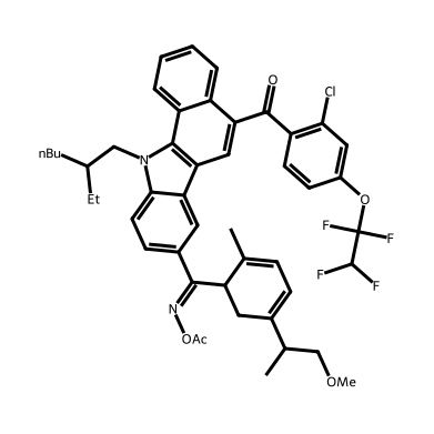 CCCCC(CC)Cn1c2ccc(/C(=N/OC(C)=O)C3CC(C(C)COC)=CC=C3C)cc2c2cc(C(=O)c3ccc(OC(F)(F)C(F)F)cc3Cl)c3ccccc3c21